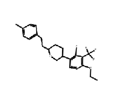 CCOc1ccc(C2CCC(CCc3ccc(C)cc3)OC2)c(F)c1C(F)(F)F